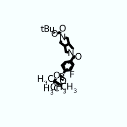 CC(C)(C)OC(=O)N1CC2CN(C(=O)c3ccc(B4OC(C)(C)C(C)(C)O4)c(F)c3)CC2C1